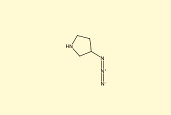 [N-]=[N+]=NC1CCNC1